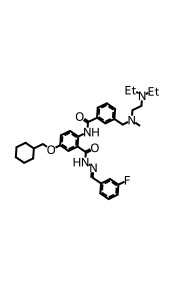 CCN(CC)CCN(C)Cc1cccc(C(=O)Nc2ccc(OCC3CCCCC3)cc2C(=O)NN=Cc2cccc(F)c2)c1